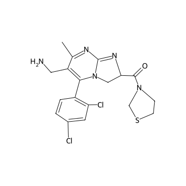 CC1=NC2=NC(C(=O)N3CCSC3)CN2C(c2ccc(Cl)cc2Cl)=C1CN